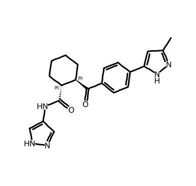 Cc1cc(-c2ccc(C(=O)[C@@H]3CCCC[C@H]3C(=O)Nc3cn[nH]c3)cc2)[nH]n1